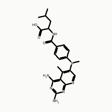 Cc1c(N(C)c2ccc(C(=O)NC(CC(C)C)C(=O)O)cc2)cnc2nc(N)nc(N)c12